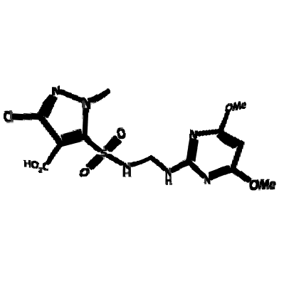 COc1cc(OC)nc(NCNS(=O)(=O)c2c(C(=O)O)c(Cl)nn2C)n1